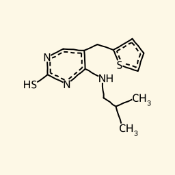 CC(C)CNc1nc(S)ncc1Cc1cccs1